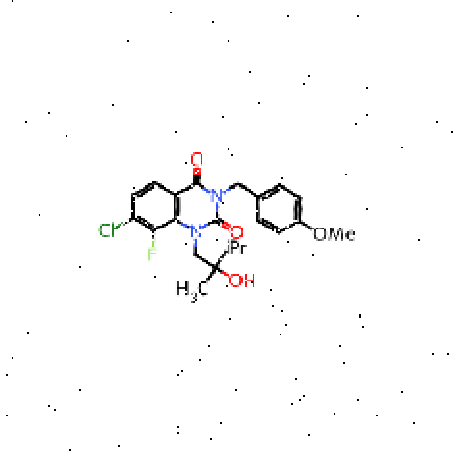 COc1ccc(Cn2c(=O)c3ccc(Cl)c(F)c3n(CC(C)(O)C(C)C)c2=O)cc1